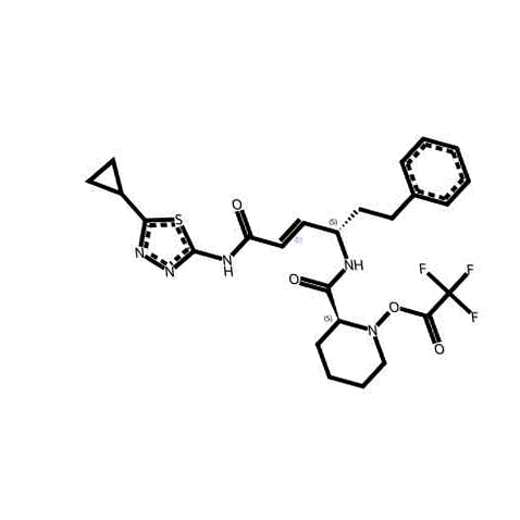 O=C(/C=C/[C@H](CCc1ccccc1)NC(=O)[C@@H]1CCCCN1OC(=O)C(F)(F)F)Nc1nnc(C2CC2)s1